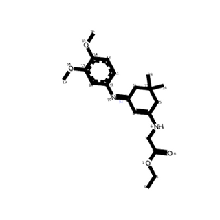 CCOC(=O)CNC1=C/C(=N/c2ccc(OC)c(OC)c2)CC(C)(C)C1